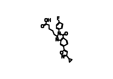 O=C(O)CCCCc1nc2cc(-c3cc(C4CC4)no3)ccc2c(=O)n1-c1ccc(F)cc1